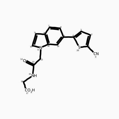 N#Cc1ccc(-c2ccc3ccn(CC(=O)NCC(=O)O)c3c2)s1